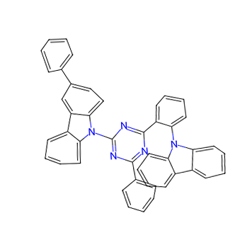 c1ccc(-c2ccc3c(c2)c2ccccc2n3-c2nc(-c3ccccc3)nc(-c3ccccc3-n3c4ccccc4c4ccccc43)n2)cc1